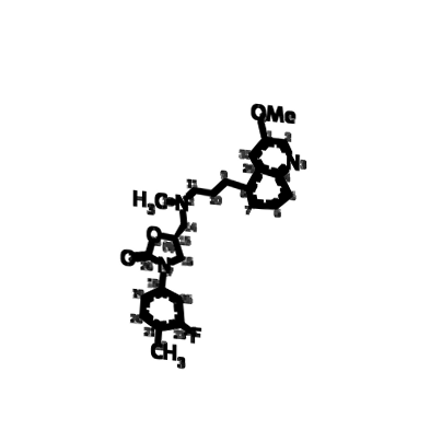 COc1cnc2cccc(CCCN(C)C[C@H]3CN(c4ccc(C)c(F)c4)C(=O)O3)c2c1